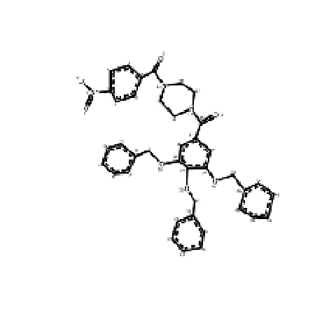 O=C(c1ccc([N+](=O)[O-])cc1)N1CCN(C(=O)c2cc(OCc3ccccc3)c(OCc3ccccc3)c(OCc3ccccc3)c2)CC1